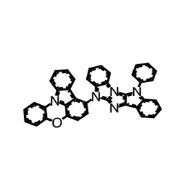 c1ccc(-n2c3ccccc3c3nc4n(-c5ccc6c7c5c5ccccc5n7-c5ccccc5O6)c5ccccc5n4c32)cc1